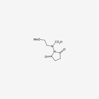 COCCN(C(=O)O)N1C(=O)CCC1=O